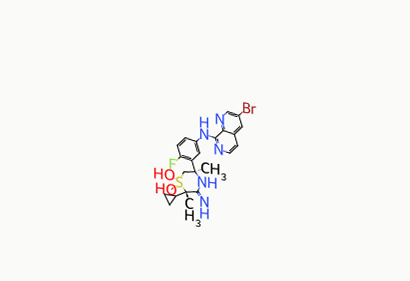 C[C@@]1(c2cc(Nc3nccc4cc(Br)cnc34)ccc2F)CS(O)(O)[C@@](C)(C2CC2)C(=N)N1